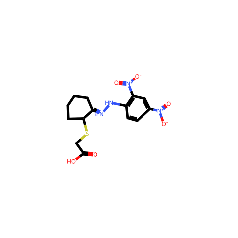 O=C(O)CSC1CCCC/C1=N\Nc1ccc([N+](=O)[O-])cc1[N+](=O)[O-]